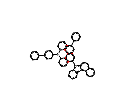 c1ccc(-c2ccc(-c3ccccc3N(c3ccc(-c4ccccc4)cc3)c3ccccc3-c3ccc(-n4c5ccccc5c5c6ccccc6ccc54)cc3)cc2)cc1